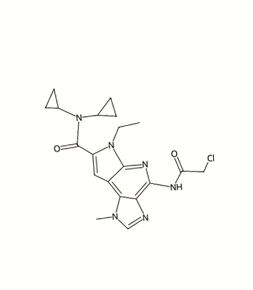 CCn1c(C(=O)N(C2CC2)C2CC2)cc2c3c(ncn3C)c(NC(=O)CCl)nc21